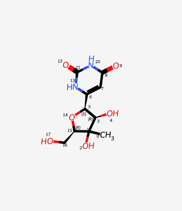 CC1(O)[C@H](O)[C@H](c2cc(=O)[nH]c(=O)[nH]2)O[C@@H]1CO